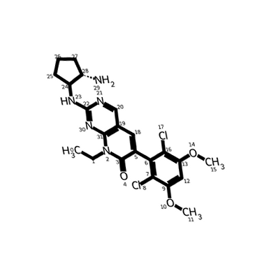 CCn1c(=O)c(-c2c(Cl)c(OC)cc(OC)c2Cl)cc2cnc(NC3CCC[C@@H]3N)nc21